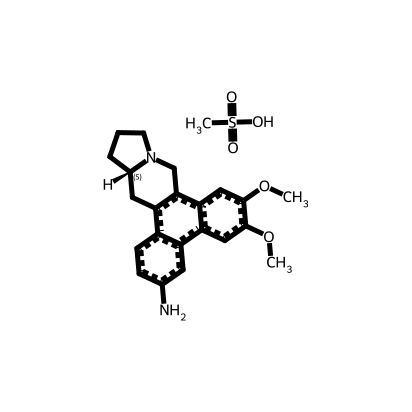 COc1cc2c3c(c4ccc(N)cc4c2cc1OC)C[C@@H]1CCCN1C3.CS(=O)(=O)O